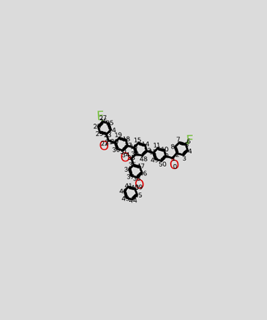 O=C(c1ccc(F)cc1)c1ccc(-c2ccc(-c3ccc(C(=O)c4ccc(F)cc4)cc3)c(C(=O)c3ccc(Oc4ccccc4)cc3)c2)cc1